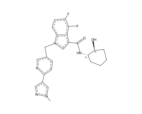 Cn1cc(-c2ccc(Cn3cc(C(=O)N[C@H]4CCCC[C@@H]4O)c4c(F)c(F)ccc43)cn2)cn1